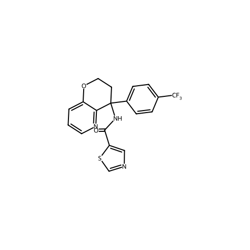 O=C(NC1(c2ccc(C(F)(F)F)cc2)CCOc2cccnc21)c1cncs1